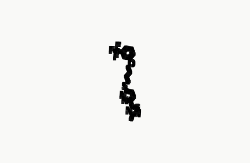 Cc1nsc(-c2ccc(SCCCCOc3cccc(C(F)(F)F)c3)nn2)n1